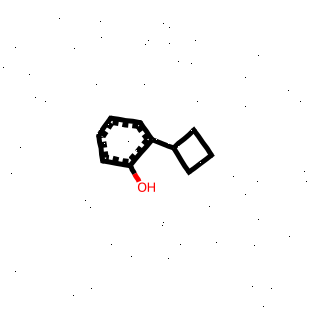 Oc1ccccc1C1CCC1